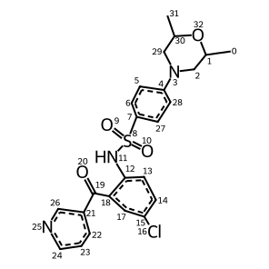 CC1CN(c2ccc(S(=O)(=O)Nc3ccc(Cl)cc3C(=O)c3cccnc3)cc2)CC(C)O1